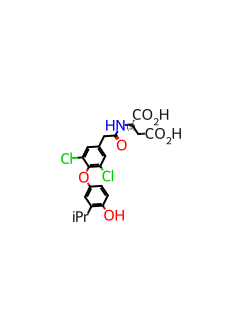 CC(C)c1cc(Oc2c(Cl)cc(CC(=O)N[C@@H](CC(=O)O)C(=O)O)cc2Cl)ccc1O